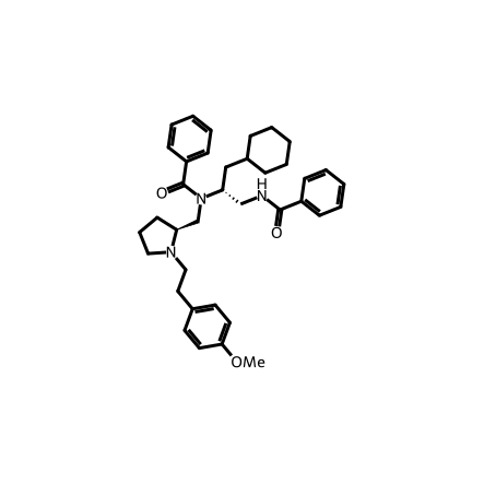 COc1ccc(CCN2CCC[C@H]2CN(C(=O)c2ccccc2)[C@@H](CNC(=O)c2ccccc2)CC2CCCCC2)cc1